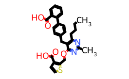 CCCCc1nc(C)nc(OCc2sccc2C(=O)O)c1Cc1ccc(-c2ccccc2C(=O)O)cc1